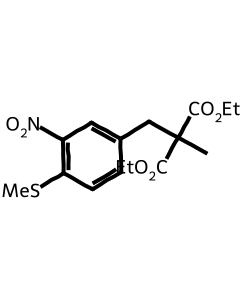 CCOC(=O)C(C)(Cc1ccc(SC)c([N+](=O)[O-])c1)C(=O)OCC